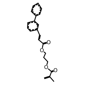 C=C(C)C(=O)OCCCOC(=O)C=Cc1cccc(-c2ccccc2)c1